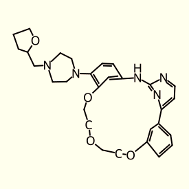 c1cc2cc(c1)-c1ccnc(n1)Nc1ccc(N3CCN(CC4CCCO4)CC3)c(c1)OCCOCCO2